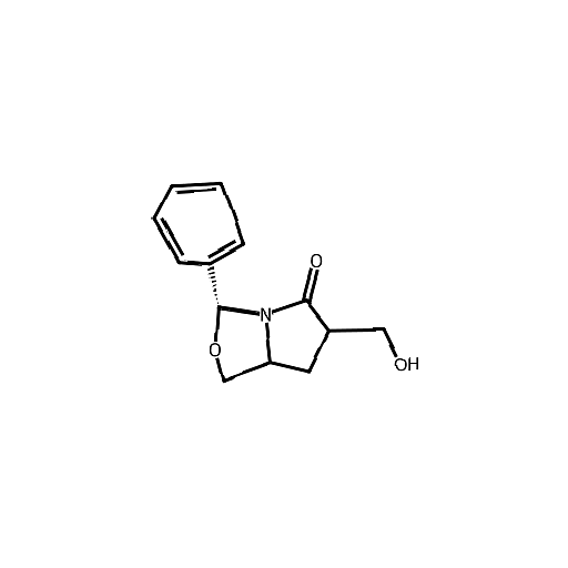 O=C1C(CO)CC2CO[C@H](c3ccccc3)N12